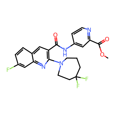 COC(=O)c1cc(NC(=O)c2cc3ccc(F)cc3nc2N2CCCC(F)(F)CC2)ccn1